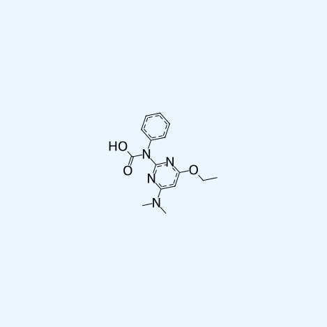 CCOc1cc(N(C)C)nc(N(C(=O)O)c2ccccc2)n1